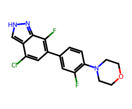 Fc1cc(-c2cc(Cl)c3c[nH]nc3c2F)ccc1N1CCOCC1